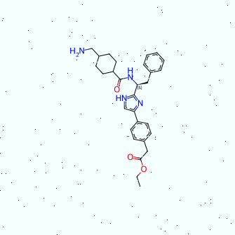 CCOC(=O)Cc1ccc(-c2c[nH]c([C@H](Cc3ccccc3)NC(=O)C3CCC(CN)CC3)n2)cc1